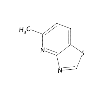 Cc1ccc2scnc2n1